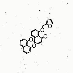 O=C1C=CC2(Oc3cccc4cccc(c34)O2)c2cccc(OCc3ccco3)c21